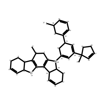 CC1CC2=C(C3=C1C1CCC=CC1O3)C1C=CCCC1N2C1=CC(C2(C)C=CCC2)=CC(C2=CC=CC(I)C2)C1